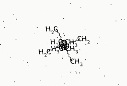 C=CCCCCCC[Si]1(C)O[Si](C)(CCCCCCC=C)O[Si](C)(CCCCCCC=C)O[Si](C)(CCCCCCC=C)O1